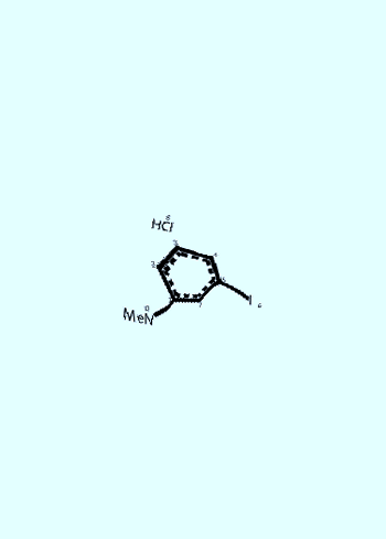 CNc1cccc(I)c1.Cl